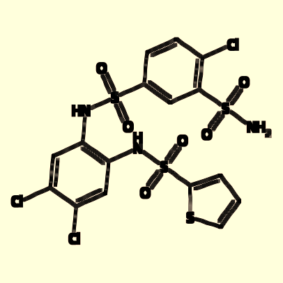 NS(=O)(=O)c1cc(S(=O)(=O)Nc2cc(Cl)c(Cl)cc2NS(=O)(=O)c2cccs2)ccc1Cl